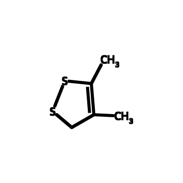 CC1=C(C)SSC1